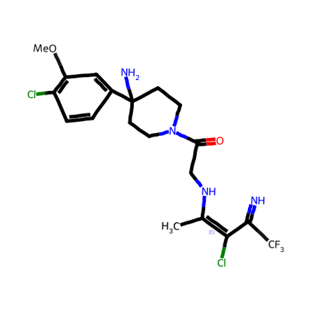 COc1cc(C2(N)CCN(C(=O)CN/C(C)=C(/Cl)C(=N)C(F)(F)F)CC2)ccc1Cl